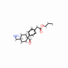 CCCOC(=O)Cc1ccc(C2(C=O)CCC(CN)CC2)cc1